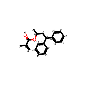 C=C(C)C(=O)OC(C)CC(c1ccccc1)c1ccccc1